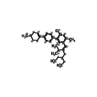 CCC(CC)C/C(=N/c1nc(-c2ccc(C3=CCC(C)CC3)cc2)c(Cl)cc1C)C(C)C